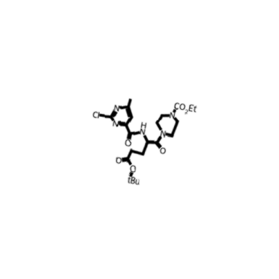 CCOC(=O)N1CCN(C(=O)C(CCC(=O)OC(C)(C)C)NC(=O)c2cc(C)nc(Cl)n2)CC1